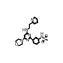 CS(=O)(=O)Nc1cccc(-c2nc(NCCc3ccccn3)cc(N3CCOCC3)n2)c1